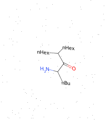 CCCCCCC(CCCCCC)C(=O)C(N)CCCC